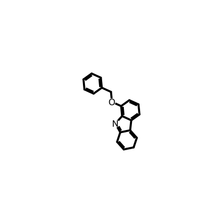 C1=CC2=Nc3c(OCc4ccccc4)cccc3C2=CC1